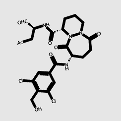 CC(=O)C[C@@H](C=O)NC(=O)[C@@H]1CCCN2C(=O)CC[C@H](NC(=O)c3cc(Cl)c(CO)c(Cl)c3)C(=O)N12